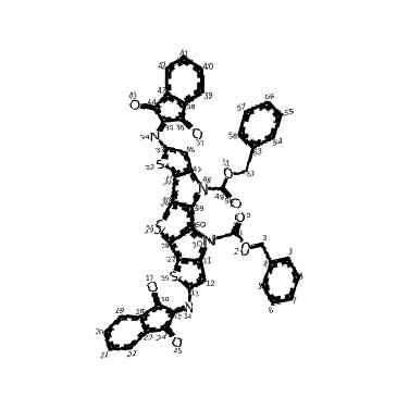 O=C(OCc1ccccc1)n1c2cc(N=c3c(=O)c4ccccc4c3=O)sc2c2sc3c4sc(N=c5c(=O)c6ccccc6c5=O)cc4n(C(=O)OCc4ccccc4)c3c21